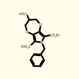 CCCCCCCCC1COc2c(c(C(=O)OCC)n(Cc3ccccc3)c2C(=O)OCC)OC1